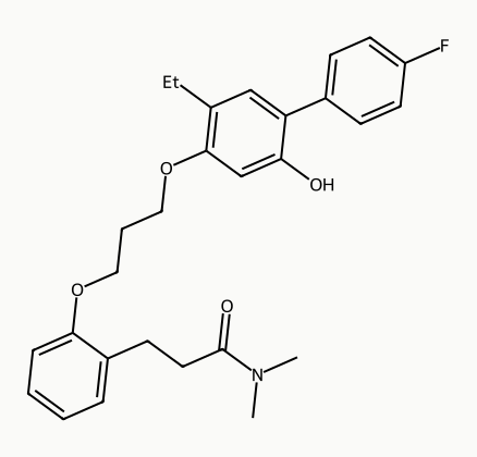 CCc1cc(-c2ccc(F)cc2)c(O)cc1OCCCOc1ccccc1CCC(=O)N(C)C